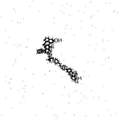 C#Cc1cccc2cc(O)cc(-c3ccc4c(N5CC6CCC(C5)N6)nc(OCC5(CN6CCC(CCN7CCN(c8ccc9c(c8)CN([C@H]8CCC(=O)NC8=O)C9=O)CC7)CC6)CC5)nc4c3F)c12